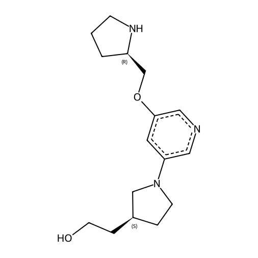 OCC[C@@H]1CCN(c2cncc(OC[C@H]3CCCN3)c2)C1